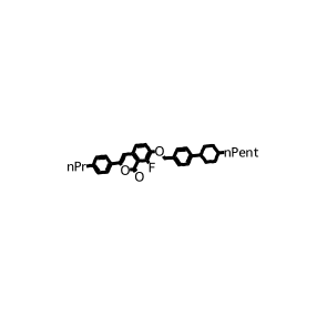 CCCCCC1CCC(c2ccc(COc3ccc4cc(-c5ccc(CCC)cc5)oc(=O)c4c3F)cc2)CC1